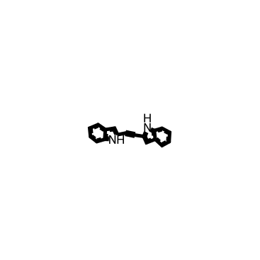 C(#Cc1cc2ccccc2[nH]1)c1cc2ccccc2[nH]1